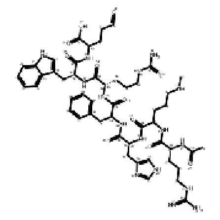 CNCCCC(NC(=O)[C@H](CCCNC(=N)N)NC(C)=O)C(=O)N[C@@H](Cc1c[nH]cn1)C(=O)NC(Cc1ccccc1)C(=O)N[C@@H](CCCNC(=N)N)C(=O)N[C@@H](Cc1c[nH]c2ccccc12)C(=O)NC(CCC=O)C(=O)O